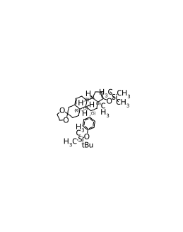 CC(C)(C)[Si](C)(C)Oc1ccc([C@H]2C[C@]3(C)C(O[Si](C)(C)C)=CC[C@H]3[C@@H]3CC=C4CC5(CC[C@@H]4[C@H]32)OCCO5)cc1